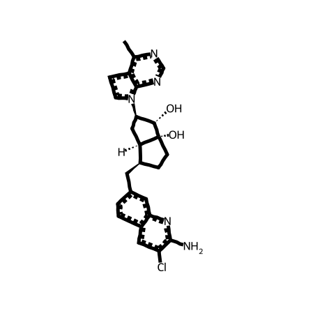 Cc1ncnc2c1ccn2[C@@H]1C[C@@H]2[C@H](Cc3ccc4cc(Cl)c(N)nc4c3)CC[C@]2(O)[C@H]1O